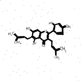 CC(C)=CCc1c(O)cc2oc(-c3ccc(O)cc3O)c(CC=C(C)C)c(=O)c2c1O